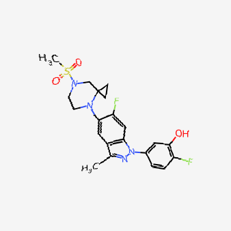 Cc1nn(-c2ccc(F)c(O)c2)c2cc(F)c(N3CCN(S(C)(=O)=O)CC34CC4)cc12